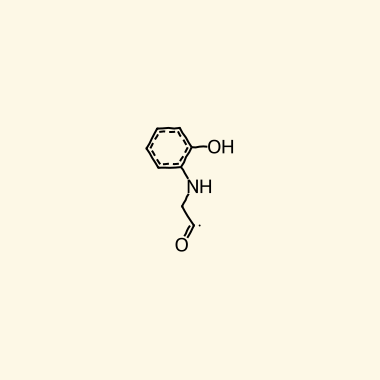 O=[C]CNc1ccccc1O